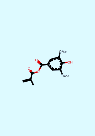 C=C(C)C(=O)OC(=O)c1cc(OC)c(O)c(OC)c1